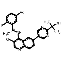 CC(=O)c1ccc(F)c([C@@H](C)Nc2c(Cl)cnc3ccc(-c4cnc(C(C)(C)O)nc4)cc23)c1